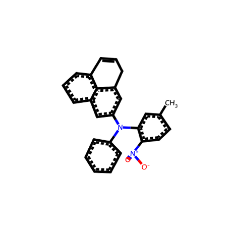 Cc1ccc([N+](=O)[O-])c(N(c2ccccc2)c2cc3c4c(cccc4c2)C=CC3)c1